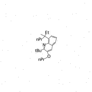 CCCOc1cc2cccc(C(C)(CC)CCC)c2nc1C(C)(C)C